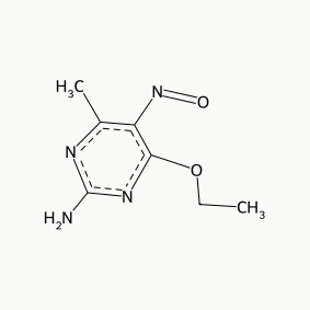 CCOc1nc(N)nc(C)c1N=O